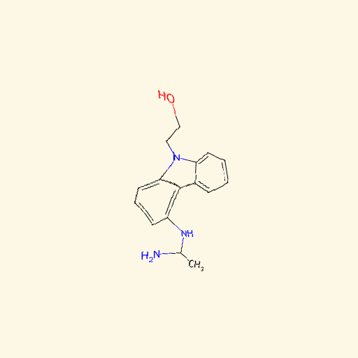 CC(N)Nc1cccc2c1c1ccccc1n2CCO